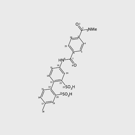 CNC(=O)c1ccc(C(=O)Nc2ccc(-c3ccc(C)cc3S(=O)(=O)O)c(S(=O)(=O)O)c2)cc1